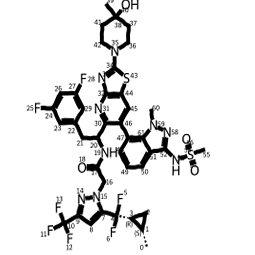 C[C@H]1C[C@H]1C(F)(F)c1cc(C(F)(F)F)nn1CC(=O)NC(Cc1cc(F)cc(F)c1)c1nc2nc(N3CCC(C)(O)CC3)sc2cc1-c1cccc2c(NS(C)(=O)=O)nn(C)c12